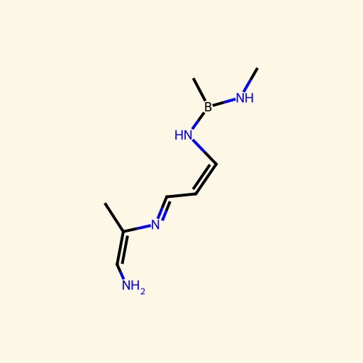 CNB(C)N\C=C/C=N/C(C)=C\N